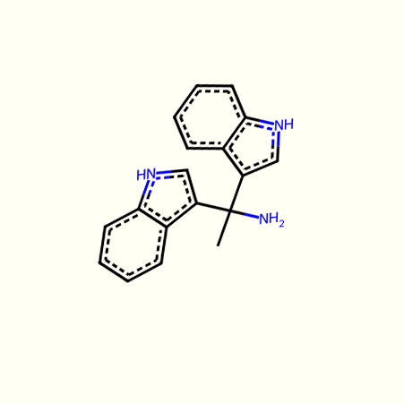 CC(N)(c1c[nH]c2ccccc12)c1c[nH]c2ccccc12